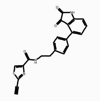 C#Cc1nc(C(=O)NCCc2ccc(-c3cccc4c3C(=O)C(=O)N4)cc2)cs1